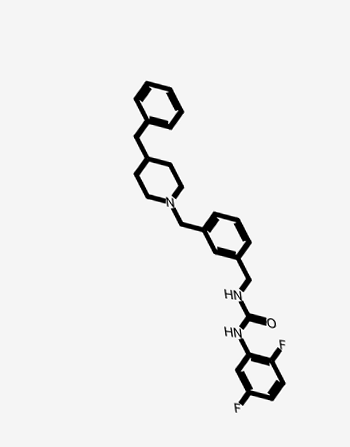 O=C(NCc1cccc(CN2CCC(Cc3ccccc3)CC2)c1)Nc1cc(F)ccc1F